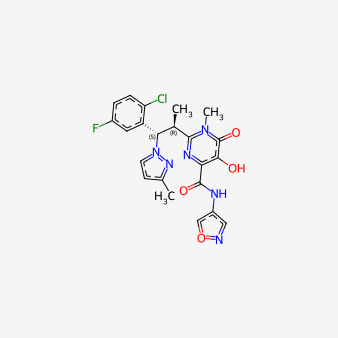 Cc1ccn([C@H](c2cc(F)ccc2Cl)[C@@H](C)c2nc(C(=O)Nc3cnoc3)c(O)c(=O)n2C)n1